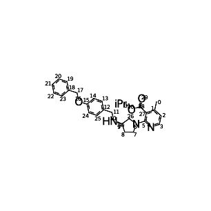 Cc1ccnc(N2CC[C@@H](NCc3ccc(OCc4ccccc4)cc3)C2)c1C(=O)OC(C)C